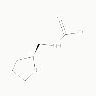 CCC(=O)NC[C@@H]1CCCN1